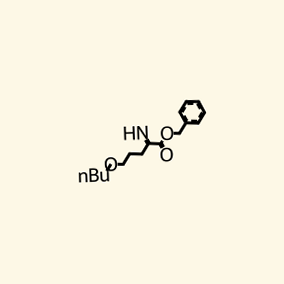 CCCCOCCCC(=N)C(=O)OCc1ccccc1